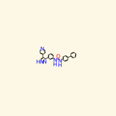 O=C(Nc1ccc(-c2ccccc2)cc1)Nc1cccc(-c2n[nH]cc2-c2ccncc2)c1